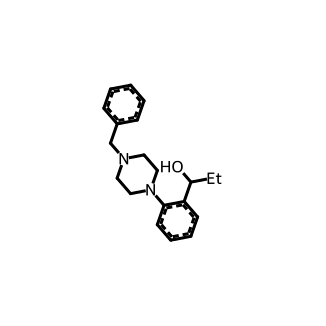 CCC(O)c1ccccc1N1CCN(Cc2ccccc2)CC1